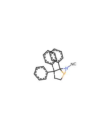 [C-]#[N+]N1P2CCC(c3ccccc3)(c3ccccc3)C12c1ccccc1